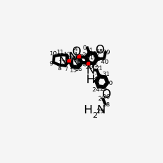 Cc1c(C(=O)NC2CC3CCC(C2)N3c2ccc(C(=O)NCc3ccc(OCCN)cc3)cn2)ccc2c1OCC2